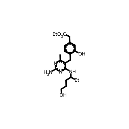 CCOC(=O)Cc1ccc(Cc2c(C)nc(N)nc2NC(CC)CCCO)c(O)c1